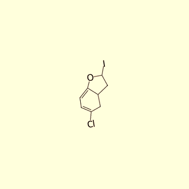 ClC1=CC=C2OC(I)CC2C1